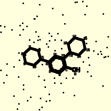 Oc1ccc(C2CC[CH]CC2)cc1C1CCCCC1